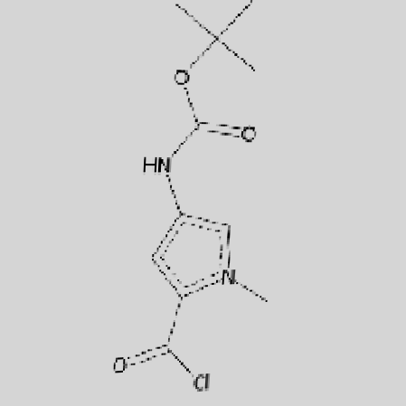 Cn1cc(NC(=O)OC(C)(C)C)cc1C(=O)Cl